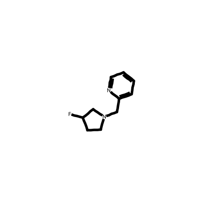 FC1CCN(Cc2ccccn2)C1